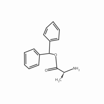 C[C@H](N)C(=O)OC(c1ccccc1)c1ccccc1